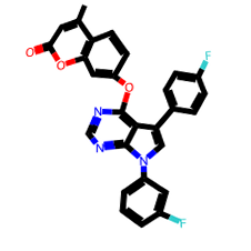 Cc1cc(=O)oc2cc(Oc3ncnc4c3c(-c3ccc(F)cc3)cn4-c3cccc(F)c3)ccc12